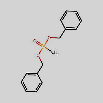 CP(=O)(OCc1ccccc1)OCc1ccccc1